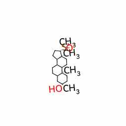 C[S+]([O-])[C@H]1CCC2C3CCC4C[C@](C)(O)CC[C@]4(C)C3CC[C@@]21C